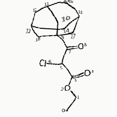 CCOC(=O)C(Cl)C(=O)C12CC3CC(CC(C3)C1)C2